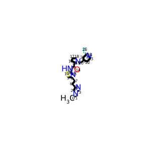 CCn1cnc(C=Cc2csc(NC(=O)c3cccn3Cc3ccnc(F)c3)n2)c1